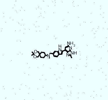 Cc1nc2c(-c3cc4ccc(CN(C)C5CCC6(CC5)COC(C)(C)OC6)cc4[nH]3)cc(N)nc2[nH]1